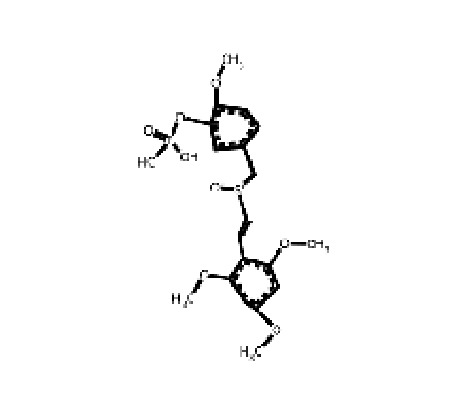 COc1cc(OC)c(C=C[S+]([O-])Cc2ccc(OC)c(OP(=O)(O)O)c2)c(OC)c1